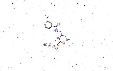 CC(C)CC(CNC(=O)c1ccccc1)NC(=O)[C@H]1O[C@@H]1C(=O)O